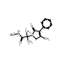 CC1=C(c2ccccc2)C(=O)N(C(C)(C)C(=O)NC(C)(C)C)C1